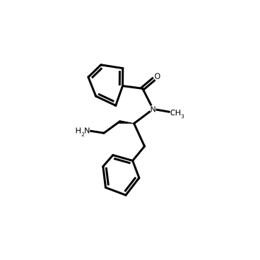 CN(C(=O)c1ccccc1)[C@H](CCN)Cc1ccccc1